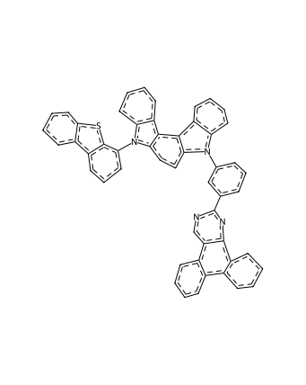 c1cc(-c2ncc3c4ccccc4c4ccccc4c3n2)cc(-n2c3ccccc3c3c4c5ccccc5n(-c5cccc6c5sc5ccccc56)c4ccc32)c1